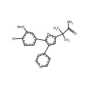 COc1cc(-c2oc(C(C)(C)C(N)=O)cc2-c2ccncc2)ccc1Cl